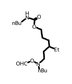 CCCCNC(=O)OCCCC(CC)CCN(CCCC)OC=O